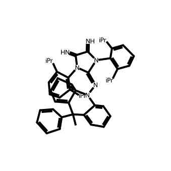 CC(C)c1cccc(C(C)C)c1N1C(=N)C(=N)N(c2c(C(C)C)cccc2C(C)C)C1=NN1c2ccccc2C(C)(c2ccccc2)c2ccccc21